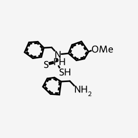 COc1ccc(N(Cc2ccccc2)[PH](=S)S)cc1.NCc1ccccc1